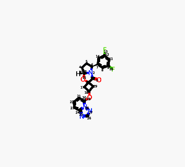 O=C1N2[C@@H](CC[C@H]2c2cc(F)cc(F)c2)OC12CC(Oc1cccc3ncnn13)C2